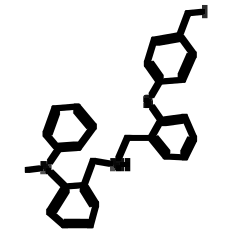 CN(c1ccccc1)c1ccccc1CNCc1ccccc1Sc1ccc(CI)cc1